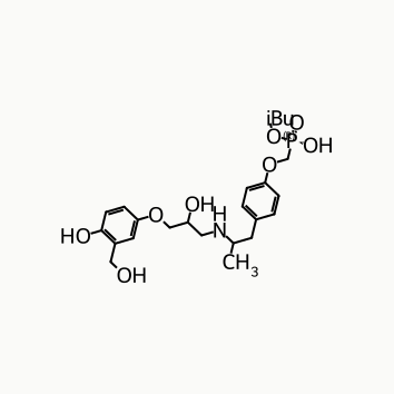 CCC(C)O[P@](=O)(O)COc1ccc(CC(C)NCC(O)COc2ccc(O)c(CO)c2)cc1